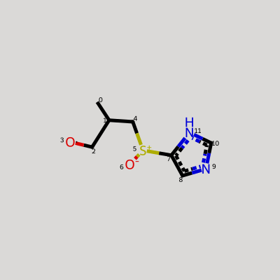 CC(C[O])C[S+]([O-])c1cnc[nH]1